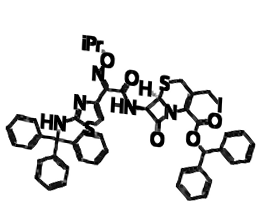 CC(C)O/N=C(\C(=O)N[C@@H]1C(=O)N2C(C(=O)OC(c3ccccc3)c3ccccc3)=C(CI)CS[C@H]12)c1csc(NC(c2ccccc2)(c2ccccc2)c2ccccc2)n1